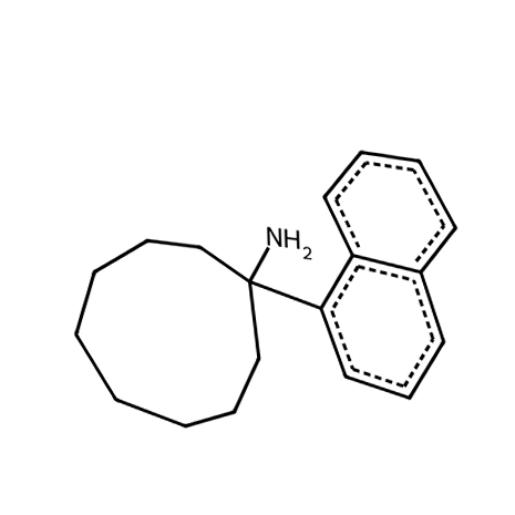 NC1(c2cccc3ccccc23)CCCCCCCC1